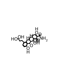 NC(=O)C1=C(O)C[C@@H]2C[C@@H]3Cc4c(CCC(O)O)ccc(O)c4C(=O)C3C(O)[C@]2(O)C1=O